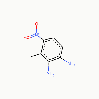 Cc1c([N+](=O)[O-])ccc(N)c1N